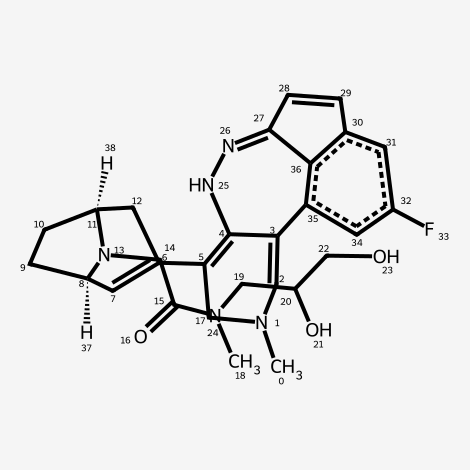 CN1C=C2C(=C(C3=C[C@H]4CC[C@@H](C3)N4CC(=O)N(C)CC(O)CO)C1)NN=C1C=Cc3cc(F)cc2c31